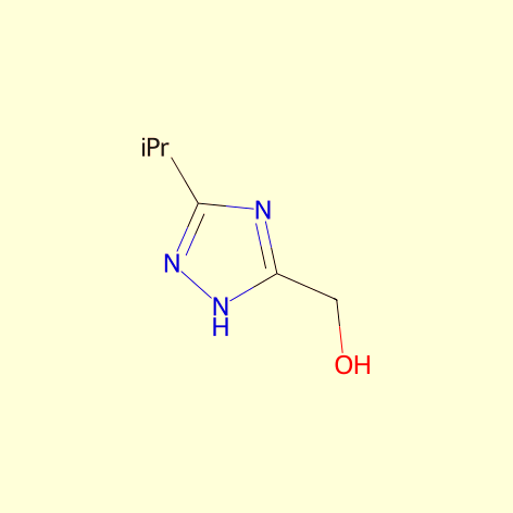 CC(C)c1n[nH]c(CO)n1